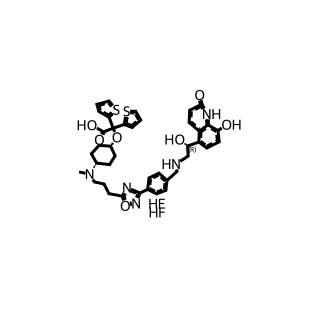 CN(CCCc1nc(-c2ccc(CNC[C@H](O)c3ccc(O)c4[nH]c(=O)ccc34)cc2)no1)[C@H]1CC[C@H](OC(C(=O)O)(c2cccs2)c2cccs2)CC1.F.F